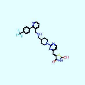 O=C1NC(O)S/C1=C\c1ccnc(N2CCC(CNCc3cccnc3-c3ccc(C(F)(F)F)cc3)CC2)n1